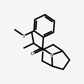 CSc1ccccc1C(=O)N1C2CCC1CN(C(C)C)C2